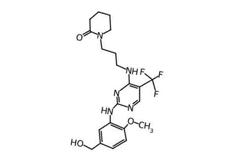 COc1ccc(CO)cc1Nc1ncc(C(F)(F)F)c(NCCCN2CCCCC2=O)n1